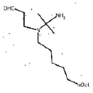 CCCCCCCCCCCCCN(CCC=O)C(C)(C)N